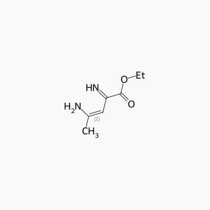 CCOC(=O)C(=N)/C=C(/C)N